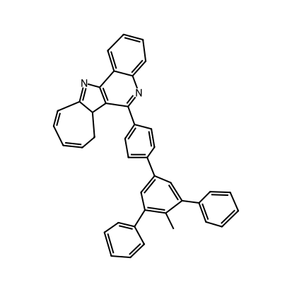 Cc1c(-c2ccccc2)cc(-c2ccc(-c3nc4ccccc4c4c3C3CC=CC=CC3=N4)cc2)cc1-c1ccccc1